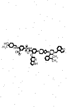 CC(C)c1ccccc1C1CN(Cc2cccc3occc23)CCN1C1CC2(CCN(c3ccc(C(=O)NS(=O)(=O)c4ccc(NCC5CCC(C)(O)CC5)c([N+](=O)[O-])c4)c(Oc4cnc5[nH]ccc5c4)c3)CC2)C1